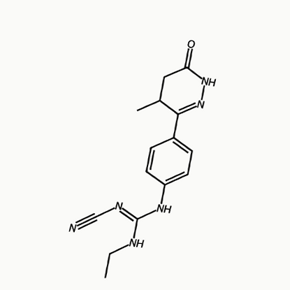 CCNC(=NC#N)Nc1ccc(C2=NNC(=O)CC2C)cc1